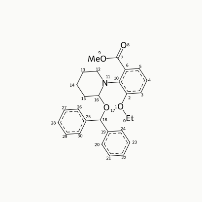 CCOc1cccc(C(=O)OC)c1N1CCCCC1OC(c1ccccc1)c1ccccc1